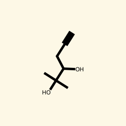 C#CCC(O)C(C)(C)O